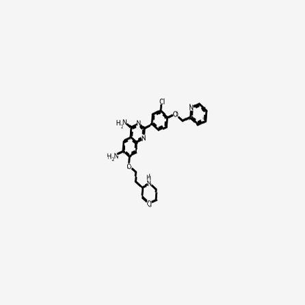 Nc1cc2c(N)nc(-c3ccc(OCc4ccccn4)c(Cl)c3)nc2cc1OCCC1COCCN1